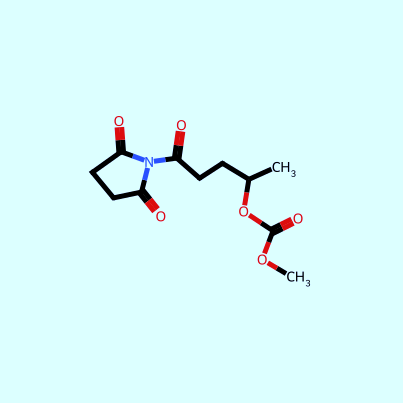 COC(=O)OC(C)CCC(=O)N1C(=O)CCC1=O